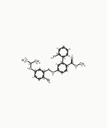 COC(=O)c1ccc(OCc2cc(OC(C)C)ccc2Br)cc1-c1ccccc1F